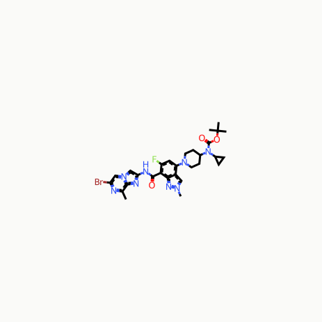 Cc1nc(Br)cn2cc(NC(=O)c3c(F)cc(N4CCC(N(C(=O)OC(C)(C)C)C5CC5)CC4)c4cn(C)nc34)nc12